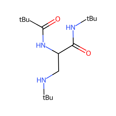 CC(C)(C)NCC(NC(=O)C(C)(C)C)C(=O)NC(C)(C)C